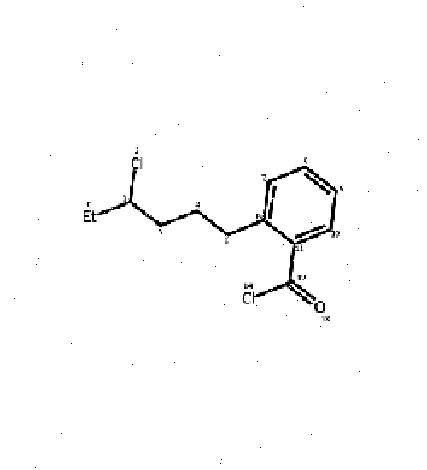 CCC(Cl)CCCc1ccccc1C(=O)Cl